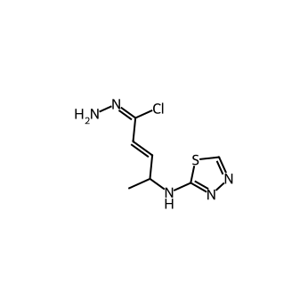 CC(/C=C/C(Cl)=N\N)Nc1nncs1